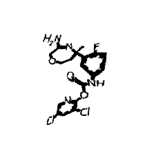 C[C@@]1(c2cc(NC(=O)Oc3ncc(Cl)cc3Cl)ccc2F)CCOCC(N)=N1